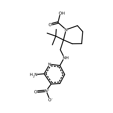 CC(C)(C)C1(CNc2ccc([N+](=O)[O-])c(N)n2)CCCCN1C(=O)O